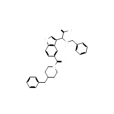 CC(=O)C(NCc1ccccc1)c1c[nH]c2ccc(C(=O)N3CCC(Cc4ccccc4)CC3)cc12